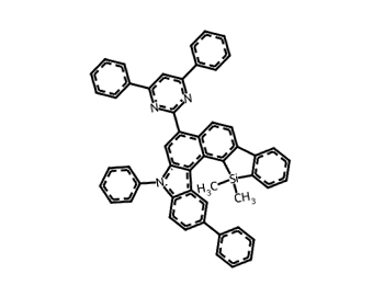 C[Si]1(C)c2ccccc2-c2ccc3c(-c4nc(-c5ccccc5)cc(-c5ccccc5)n4)cc4c(c5cc(-c6ccccc6)ccc5n4-c4ccccc4)c3c21